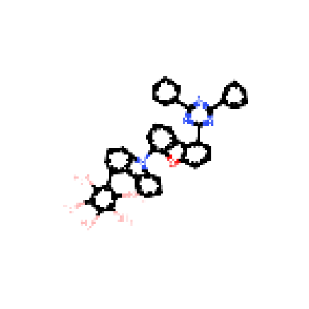 Bc1c(B)c(B)c(-c2cccc3c2c2ccccc2n3-c2cccc3c2oc2cccc(-c4nc(-c5ccccc5)nc(-c5ccccc5)n4)c23)c(B)c1B